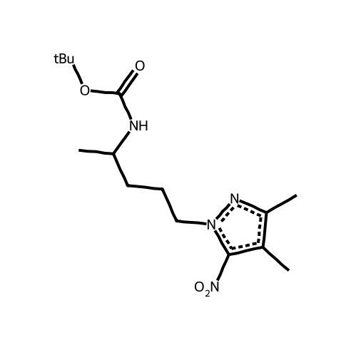 Cc1nn(CCCC(C)NC(=O)OC(C)(C)C)c([N+](=O)[O-])c1C